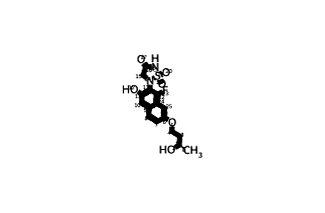 C[C@H](O)CCOc1ccc2cc(O)c(N3CC(=O)NS3(=O)=O)c(F)c2c1